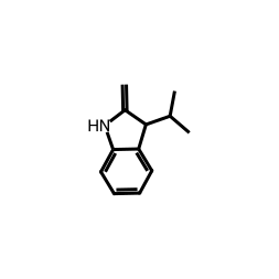 C=C1Nc2ccccc2C1C(C)C